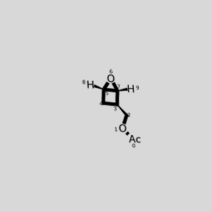 CC(=O)OC[C@H]1C[C@@H]2O[C@H]12